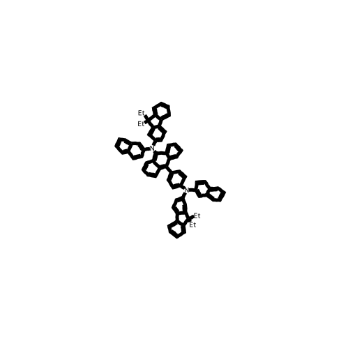 CCC1(CC)c2ccccc2-c2ccc(N(c3ccc(-c4c5ccccc5c(N(c5ccc6c(c5)C(CC)(CC)c5ccccc5-6)c5ccc6ccccc6c5)c5ccccc45)cc3)c3ccc4ccccc4c3)cc21